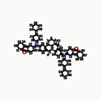 Cc1c2c3c(cccc3c3cc(N(c4ccc(-c5ccccc5)cc4)c4ccc5oc6ccccc6c5c4)ccc13)C(C)(C)c1cc(N(c3ccc(-c4ccccc4)cc3)c3ccc4oc5ccccc5c4c3)ccc1-2